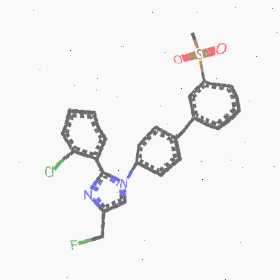 CS(=O)(=O)c1cccc(-c2ccc(-n3cc(CF)nc3-c3ccccc3Cl)cc2)c1